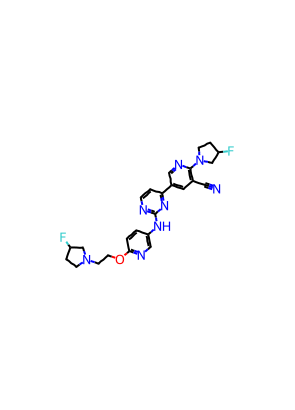 N#Cc1cc(-c2ccnc(Nc3ccc(OCCN4CCC(F)C4)nc3)n2)cnc1N1CCC(F)C1